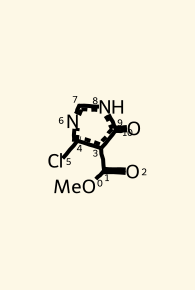 COC(=O)c1c(Cl)nc[nH]c1=O